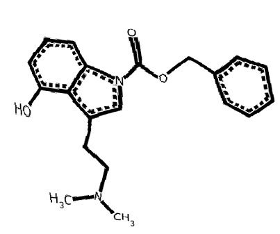 CN(C)CCc1cn(C(=O)OCc2ccccc2)c2cccc(O)c12